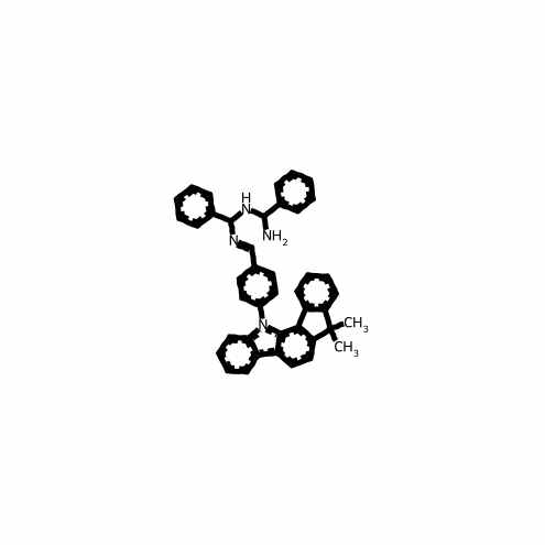 CC1(C)c2ccccc2-c2c1ccc1c3ccccc3n(-c3ccc(/C=N/C(NC(N)c4ccccc4)c4ccccc4)cc3)c21